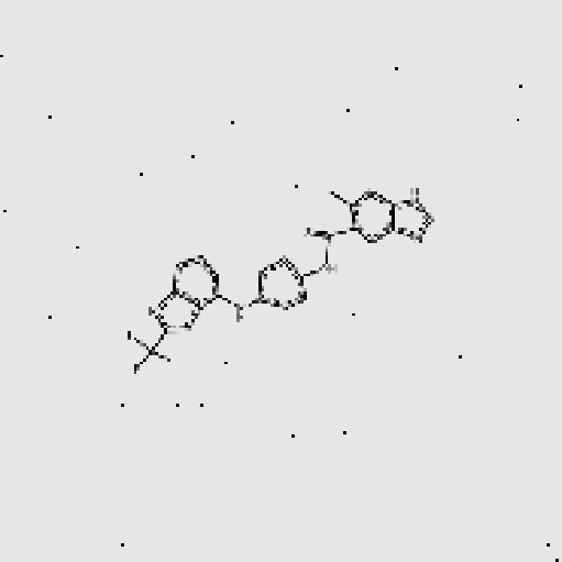 Cc1cc2[nH]cnc2cc1C(=O)Nc1ccc(Nc2cccc3nc(C(F)(F)F)cn23)cc1